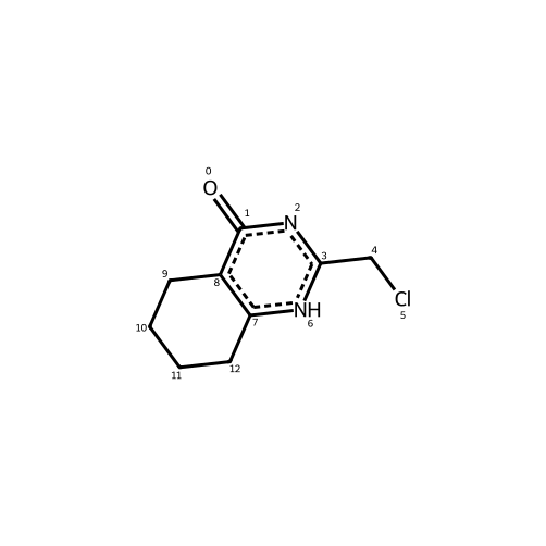 O=c1nc(CCl)[nH]c2c1CCCC2